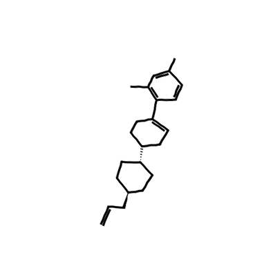 C=CC[C@H]1CC[C@H](C2CC=C(c3ccc(C)cc3C)CC2)CC1